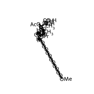 COCCOCCOCCOCCOCCOCCOCCOCCOCCOCCOCCOCCn1cc(CC(C(=O)N[C@H](C(=O)N[C@@H](C)C(=O)Nc2ccc(COC(C)=O)c(CC[C@@H]3O[C@H](C(=O)O)[C@@H](O)[C@H](O)C3C)c2)C(C)C)N2C(=O)C=CC2=O)nn1